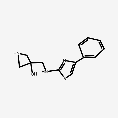 OC1(CNc2nc(-c3ccccc3)cs2)CNC1